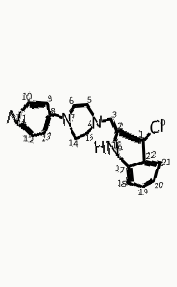 Clc1c(CN2CCN(c3ccncc3)CC2)[nH]c2ccccc12